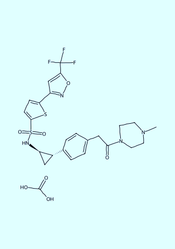 CN1CCN(C(=O)Cc2ccc([C@@H]3C[C@H]3NS(=O)(=O)c3ccc(-c4cc(C(F)(F)F)on4)s3)cc2)CC1.O=C(O)O